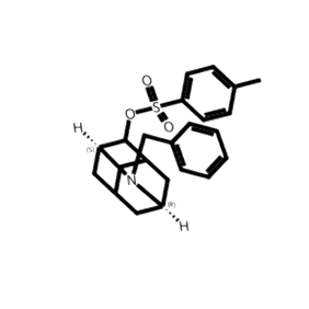 Cc1ccc(S(=O)(=O)OC2C3CC4C[C@H](C3)N(Cc3ccccc3)[C@H]2C4)cc1